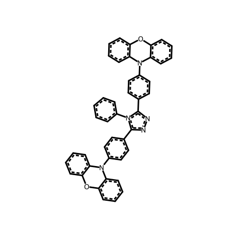 c1ccc(-n2c(-c3ccc(N4c5ccccc5Oc5ccccc54)cc3)nnc2-c2ccc(N3c4ccccc4Oc4ccccc43)cc2)cc1